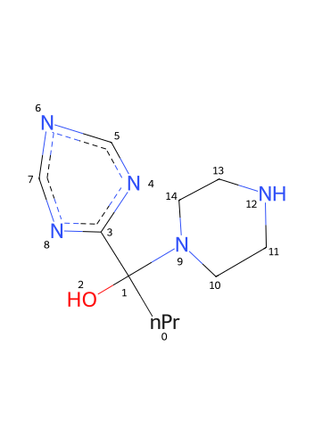 CCCC(O)(c1ncncn1)N1CCNCC1